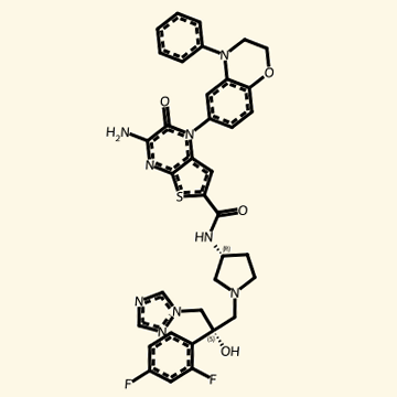 Nc1nc2sc(C(=O)N[C@@H]3CCN(C[C@](O)(Cn4cncn4)c4ccc(F)cc4F)C3)cc2n(-c2ccc3c(c2)N(c2ccccc2)CCO3)c1=O